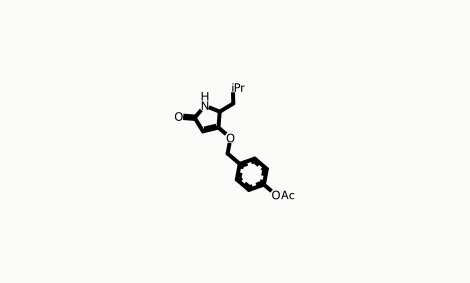 CC(=O)Oc1ccc(COC2=CC(=O)NC2CC(C)C)cc1